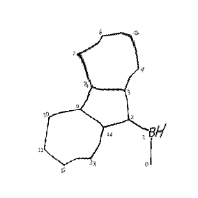 CBC1C2CCCCC2C2CCCCC12